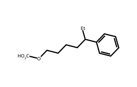 CCC(CCCCOC(=O)O)c1ccccc1